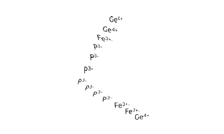 [Fe+3].[Fe+3].[Fe+3].[Ge+4].[Ge+4].[Ge+4].[P-3].[P-3].[P-3].[P-3].[P-3].[P-3].[P-3]